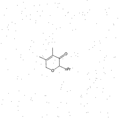 CCCC1OCC(C)=C(C)C1=O